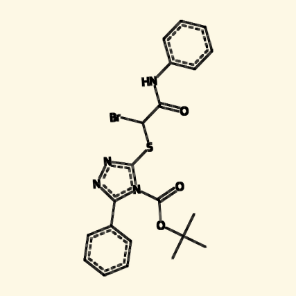 CC(C)(C)OC(=O)n1c(SC(Br)C(=O)Nc2ccccc2)nnc1-c1ccccc1